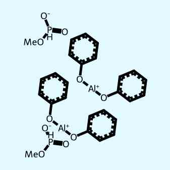 CO[PH](=O)[O-].CO[PH](=O)[O-].c1ccc([O][Al+][O]c2ccccc2)cc1.c1ccc([O][Al+][O]c2ccccc2)cc1